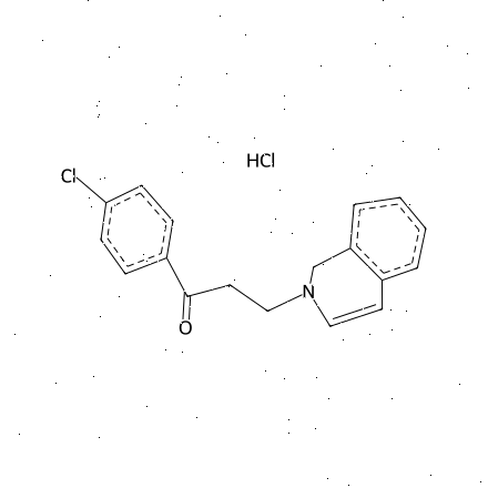 Cl.O=C(CCN1C=Cc2ccccc2C1)c1ccc(Cl)cc1